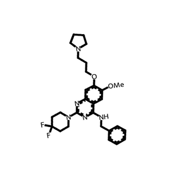 COc1cc2c(NCc3ccccc3)nc(N3CCC(F)(F)CC3)nc2cc1OCCCN1CCCC1